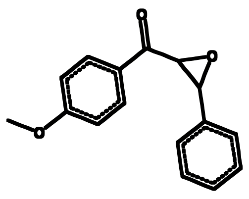 COc1ccc(C(=O)C2OC2c2ccccc2)cc1